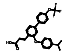 CC(C)c1ccc(Oc2cc(-c3ccc(OC(F)(F)F)cc3)ccc2/C=C/C(=O)O)cc1